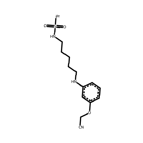 CC(C)S(=O)(=O)NCCCCCNc1cccc(OCC#N)c1